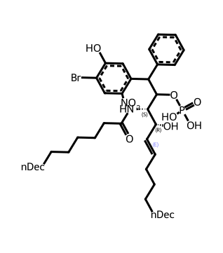 CCCCCCCCCCCCC/C=C/[C@@H](O)[C@H](NC(=O)CCCCCCCCCCCCCCC)C(OP(=O)(O)O)C(c1ccccc1)c1cc(O)c(Br)cc1[N+](=O)[O-]